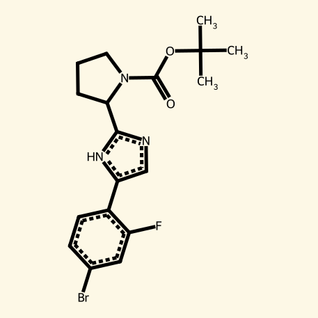 CC(C)(C)OC(=O)N1CCCC1c1ncc(-c2ccc(Br)cc2F)[nH]1